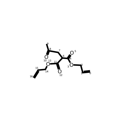 C=CCOC(=O)C(CC(C)=O)C(=O)OCC=C